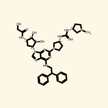 CN1CC[C@@H](NC(=N)N[C@@H]2CCN(c3nc(NCC(c4ccccc4)c4ccccc4)c4ncn([C@@H]5C[C@H](NC(=O)CO)[C@@H](O)[C@H]5O)c4n3)C2)C1